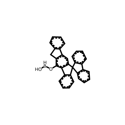 OBOc1c2c(cc3c1-c1ccccc1C31c3ccccc3-c3ccccc31)-c1ccccc1C2